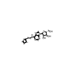 OC[C@H]1OC(n2cnc3c(NCCc4cccs4)ncnc32)[C@H](O)[C@@H]1O